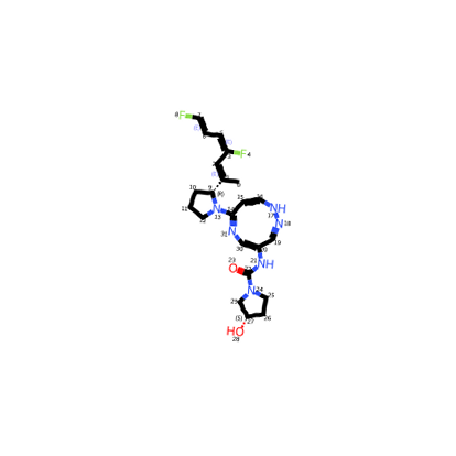 C\C(=C/C(F)=C\C=C\F)[C@H]1CCCN1c1cc[nH]ncc(NC(=O)N2CC[C@H](O)C2)cn1